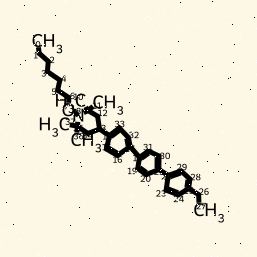 CCCCCCCON1C(C)(C)CC(c2ccc(-c3ccc(-c4ccc(CC)cc4)cc3)cc2)CC1(C)C